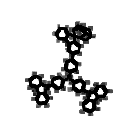 c1ccc2c(c1)-c1cc(-c3ccc(N(c4ccc(-n5c6ccccc6c6ccccc65)cc4)c4ccc(-n5c6ccccc6c6ccccc65)cc4)cc3)ccc1C21C2CC3CC(C2)CC1C3